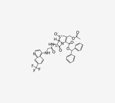 CC(=O)OCC1=C(C(=O)OC(c2ccccc2)c2ccccc2)N2C(=O)[C@@H](NC(=O)CNc3ccnc4cc(C(F)(F)F)ccc34)[C@H]2[S+]([O-])C1